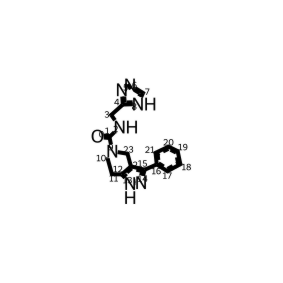 O=C(NCc1nnc[nH]1)N1CCc2[nH]nc(-c3ccccc3)c2C1